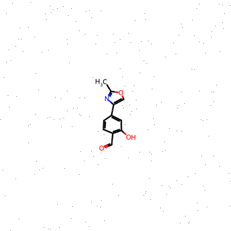 Cc1nc(-c2ccc(C=O)c(O)c2)co1